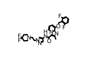 Cc1nc2c(OCc3c(F)cccc3F)cccn2c1C(=O)Nc1cnn(CCN2CCC(F)(F)CC2)c1